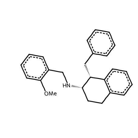 COc1ccccc1CN[C@H]1CCc2ccccc2[C@H]1Cc1ccccc1